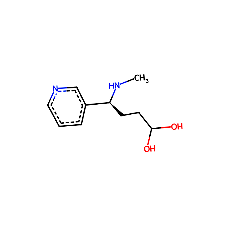 CN[C@@H](CCC(O)O)c1cccnc1